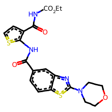 CCOC(=O)NC(=O)c1ccsc1NC(=O)c1ccc2sc(N3CCOCC3)nc2c1